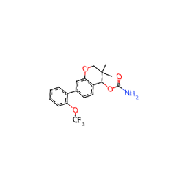 CC1(C)COc2cc(-c3ccccc3OC(F)(F)F)ccc2C1OC(N)=O